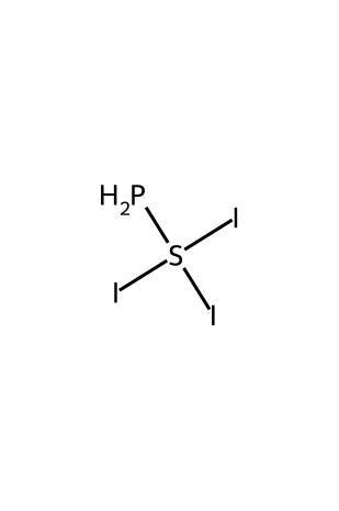 PS(I)(I)I